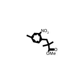 COC(=O)C(C)(C)Cc1ccc(C)cc1[N+](=O)[O-]